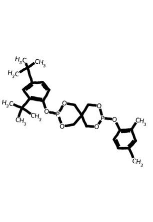 Cc1ccc(OP2OCC3(CO2)COP(Oc2ccc(C(C)(C)C)cc2C(C)(C)C)OC3)c(C)c1